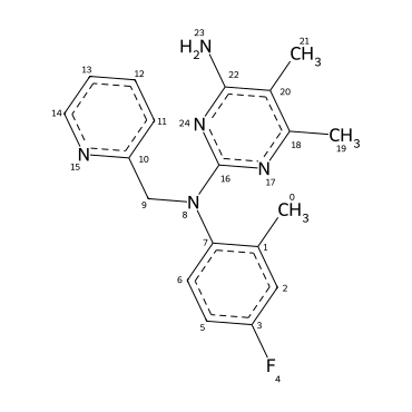 Cc1cc(F)ccc1N(Cc1ccccn1)c1nc(C)c(C)c(N)n1